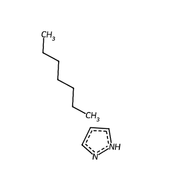 CCCCCCC.c1cn[nH]c1